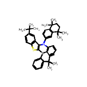 CC(C)(C)c1ccc2sc3c(c2c1)N(c1ccc2c(c1)C(C)(C)CCC2(C)C)c1cccc2c1B3c1ccccc1C2(C)C